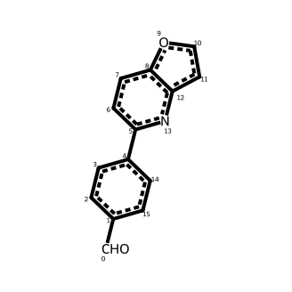 O=Cc1ccc(-c2ccc3occc3n2)cc1